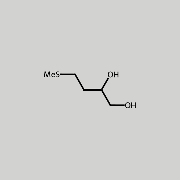 CSCCC(O)CO